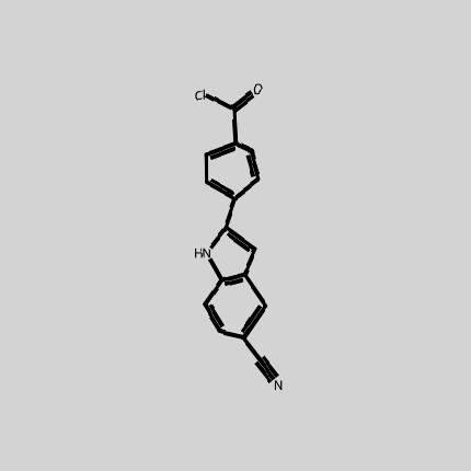 N#Cc1ccc2[nH]c(-c3ccc(C(=O)Cl)cc3)cc2c1